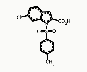 Cc1ccc(S(=O)(=O)n2c(C(=O)O)cc3ccc(Cl)cc32)cc1